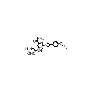 NC[C@@H](C=O)Nc1cc(C(N)=O)nc(N2CC(c3ccc(OC(F)(F)F)cc3)C2)n1